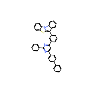 c1ccc(-c2ccc(-c3cc(-c4cccc(-c5c6ccccc6n6c5sc5ccccc56)c4)nc(-c4ccccc4)n3)cc2)cc1